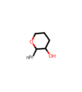 CCCC1OCCCC1O